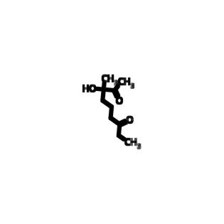 CCC(=O)CCCC(C)(O)C(C)=O